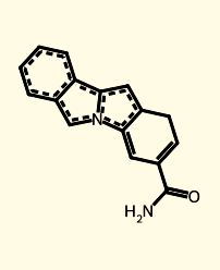 NC(=O)C1=CCc2cc3c4ccccc4cn3c2=C1